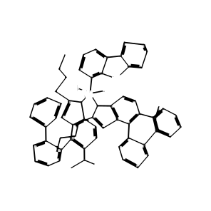 CCCCC1=Cc2c(ccc(C(C)C)c2-c2ccccc2-c2ccccc2)[CH]1[Zr]([Cl])([Cl])([c]1cccc2c1[SiH2]c1ccccc1-2)[CH]1C(CCCC)=Cc2c1ccc(C(C)C)c2-c1ccccc1-c1ccccc1